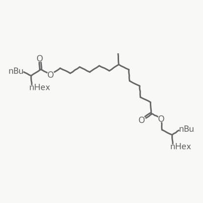 CCCCCCC(CCCC)COC(=O)CCCCCC(C)CCCCCCOC(=O)C(CCCC)CCCCCC